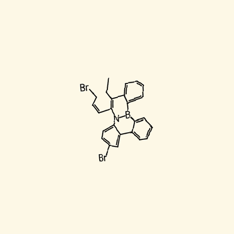 CCC1=C(/C=C\CBr)N2B(c3ccccc31)c1ccccc1-c1cc(Br)ccc12